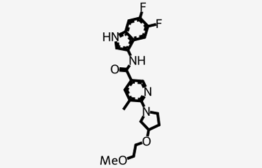 COCCOC1CCN(c2ncc(C(=O)Nc3c[nH]c4cc(F)c(F)cc34)cc2C)C1